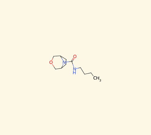 CCCCNC(=O)N1C2CCC1COC2